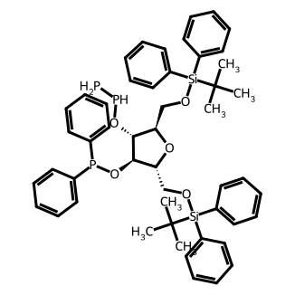 CC(C)(C)[Si](OC[C@H]1O[C@H](CO[Si](c2ccccc2)(c2ccccc2)C(C)(C)C)[C@@H](OP(c2ccccc2)c2ccccc2)[C@@H]1OPP)(c1ccccc1)c1ccccc1